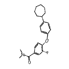 CN(C)C(=O)c1ccc(Oc2ccc(C3CCCCCC3)cc2)c(F)c1